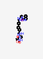 COC(=O)N[C@H](C(=O)N1CCC[C@H]1c1ncc(-c2ccc3cc(-c4ccc(-c5cnc([C@@H]6CCCN6C(=O)[C@@H]6NCCc7ccccc76)[nH]5)cc4)ccc3c2)[nH]1)C(C)C